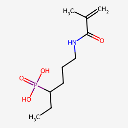 C=C(C)C(=O)NCCCC(CC)P(=O)(O)O